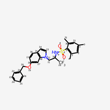 Cc1cc(C)c(S(=O)(=O)NC(Cn2ccc3ccc(OCc4ccccc4)cc32)C(F)(F)F)c(C)c1